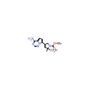 CC(C)(C)OC(=O)N1CC(c2ccc3c(N)ncnn23)=CC1(C)C(=O)O